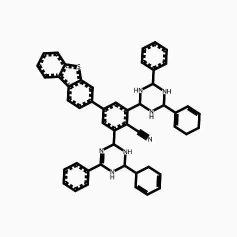 N#Cc1c(C2N=C(c3ccccc3)NC(C3C=CC=CC3)N2)cc(-c2ccc3c(c2)sc2ccccc23)cc1C1NC(C2=CCCC=C2)NC(c2ccccc2)N1